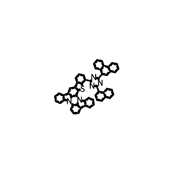 c1ccc2c(-c3nc(-c4cc5ccccc5c5ccccc45)nc(-c4cccc5c4sc4c5cc5c6ccccc6n6c7cccc8c9ccccc9n(c87)c4c56)n3)cccc2c1